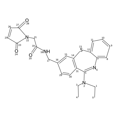 CCN(CC)C1=Nc2ccccc2Sc2cc(CNC(=O)CN3C(=O)C=CC3=O)ccc21